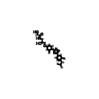 Cc1cc(OCC(O)CNC(=O)CO)ccc1-c1noc(-c2cnc(CC(C)C)c(C)c2)n1